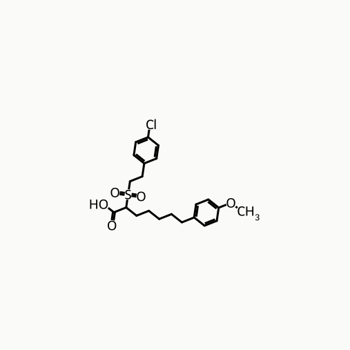 COc1ccc(CCCCCC(C(=O)O)S(=O)(=O)CCc2ccc(Cl)cc2)cc1